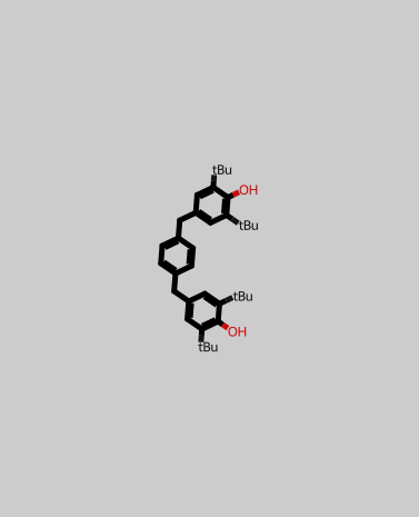 CC(C)(C)c1cc(Cc2ccc(Cc3cc(C(C)(C)C)c(O)c(C(C)(C)C)c3)cc2)cc(C(C)(C)C)c1O